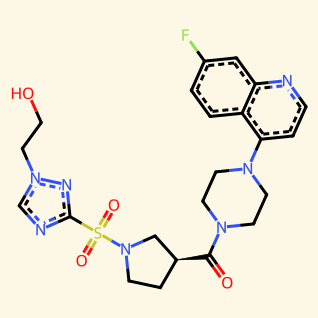 O=C([C@H]1CCN(S(=O)(=O)c2ncn(CCO)n2)C1)N1CCN(c2ccnc3cc(F)ccc23)CC1